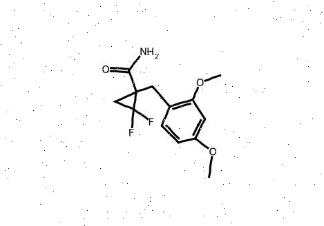 COc1ccc(CC2(C(N)=O)CC2(F)F)c(OC)c1